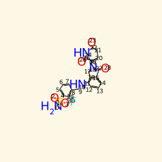 NS(=O)(=O)c1cccc(CNc2cccc3c2CN([C@@H]2CCC(=O)NC2=O)C3=O)c1F